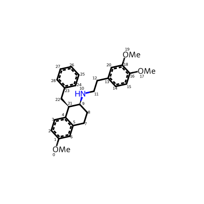 COc1ccc2c(c1)CC[C@H](NCCc1ccc(OC)c(OC)c1)[C@@H]2Cc1ccccc1